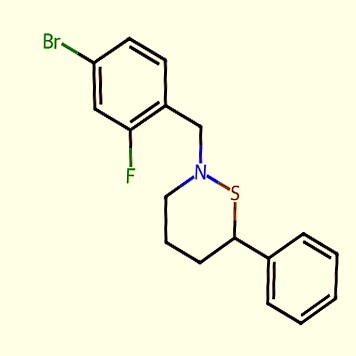 Fc1cc(Br)ccc1CN1CCCC(c2ccccc2)S1